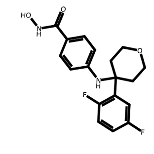 O=C(NO)c1ccc(NC2(c3cc(F)ccc3F)CCOCC2)cc1